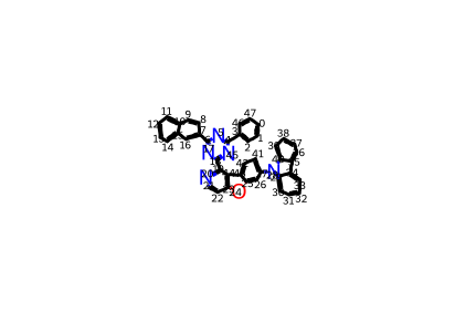 c1ccc(-c2nc(-c3ccc4ccccc4c3)nc(-c3nccc4oc5cc(-n6c7ccccc7c7ccccc76)ccc5c34)n2)cc1